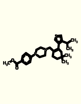 COC(=O)c1ccc(N2CCN(CC3=C(c4cscc4C(C)C)CC(C)(C)CC3)CC2)cc1